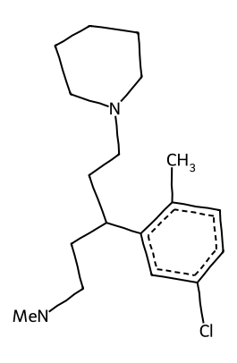 CNCCC(CCN1CCCCC1)c1cc(Cl)ccc1C